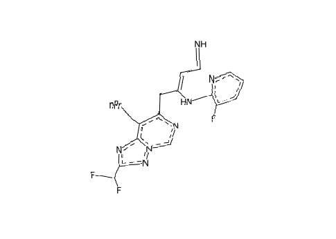 CCCc1c(C/C(=C/C=N)Nc2ncccc2F)ncn2nc(C(F)F)nc12